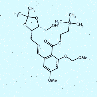 COCOc1cc(OC)cc(/C=C/C[C@@H]2OC(C)(C)O[C@@H]2CO)c1C(=O)OCC[Si](C)(C)C